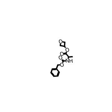 CC(NC(=O)OCc1ccccc1)C(=O)OC1COC1